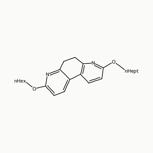 CCCCCCCOc1ccc2c(n1)CCc1nc(OCCCCCC)ccc1-2